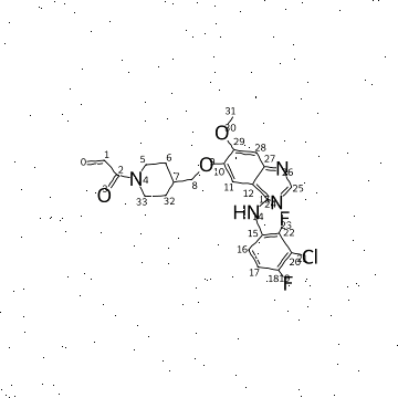 C=CC(=O)N1CCC(COc2cc3c(Nc4ccc(F)c(Cl)c4F)ncnc3cc2OC)CC1